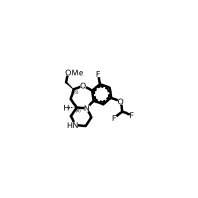 COC[C@@H]1C[C@@H]2CNCCN2c2cc(OC(F)F)cc(F)c2O1